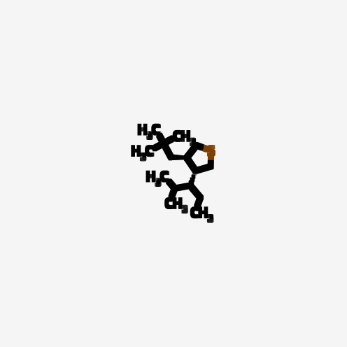 CCC(C(C)C)[C@H]1CSC[C@@H]1CC(C)(C)C